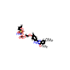 COc1cc(OC)c2c(=O)[nH]c(-c3cc(C)c(OCCOC(=O)ONS(=O)(=O)c4ccc(C)o4)c(C)c3)nc2c1